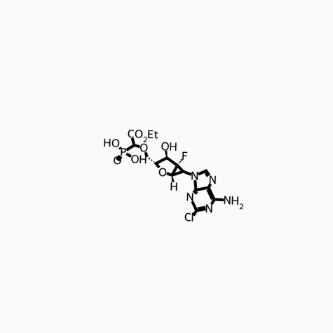 CCOC(=O)C(OC[C@H]1O[C@H]2C(n3cnc4c(N)nc(Cl)nc43)[C@]2(F)[C@@H]1O)P(=O)(O)O